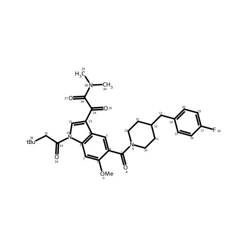 COc1cc2c(cc1C(=O)N1CCC(Cc3ccc(F)cc3)CC1)c(C(=O)C(=O)N(C)C)cn2C(=O)CC(C)(C)C